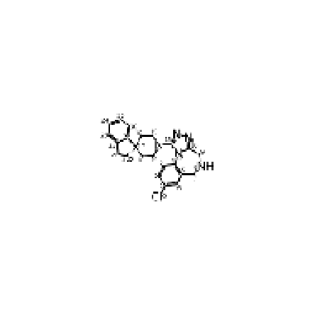 Clc1ccc2c(c1)CNCc1nnc(N3CCC4(CC3)SCc3ccccc34)n1-2